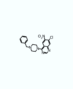 O=[N+]([O-])c1cc2c(N3CCN(Cc4ccccc4)CC3)ncnc2cc1Cl